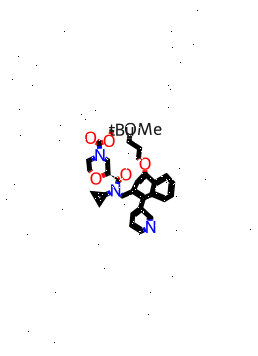 COCCCOc1cc(CN(C(=O)[C@H]2CN(C(=O)OC(C)(C)C)CCO2)C2CC2)c(-c2cccnc2)c2ccccc12